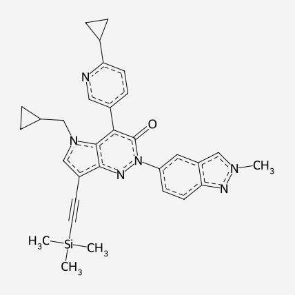 Cn1cc2cc(-n3nc4c(C#C[Si](C)(C)C)cn(CC5CC5)c4c(-c4ccc(C5CC5)nc4)c3=O)ccc2n1